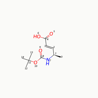 C[C@H](C=CC(=O)O)NC(=O)OC(C)(C)C